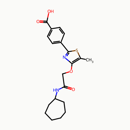 Cc1sc(-c2ccc(C(=O)O)cc2)nc1OCC(=O)NC1CCCCCC1